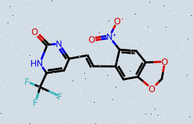 O=c1nc(C=Cc2cc3c(cc2[N+](=O)[O-])OCO3)cc(C(F)(F)F)[nH]1